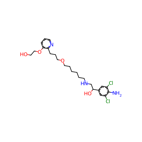 Nc1c(Cl)cc(C(O)CNCCCCCCOCCCc2ncccc2OCCO)cc1Cl